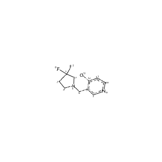 FC1(F)CCN(Cc2cnccc2Cl)C1